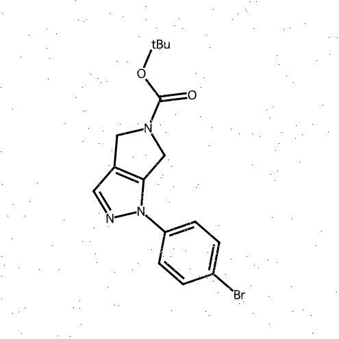 CC(C)(C)OC(=O)N1Cc2cnn(-c3ccc(Br)cc3)c2C1